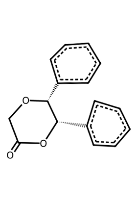 O=C1CO[C@H](c2ccccc2)[C@H](c2ccccc2)O1